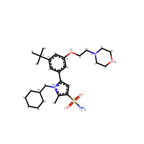 Cc1c(S(N)(=O)=O)cc(-c2cc(OCCN3CCOCC3)cc(C(C)(C)C)c2)n1CC1CCCCC1